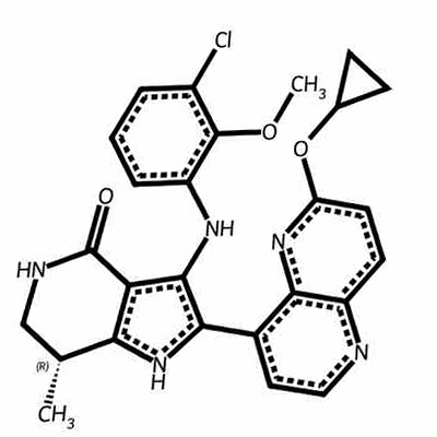 COc1c(Cl)cccc1Nc1c(-c2ccnc3ccc(OC4CC4)nc23)[nH]c2c1C(=O)NC[C@H]2C